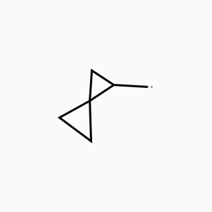 [CH2]C1CC12CC2